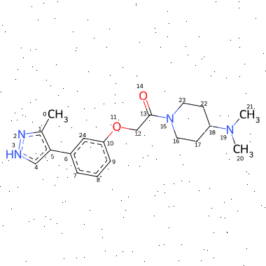 Cc1n[nH]cc1-c1c[c]cc(OCC(=O)N2CCC(N(C)C)CC2)c1